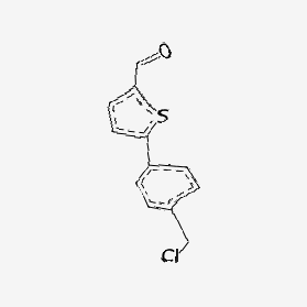 O=Cc1ccc(-c2ccc(CCl)cc2)s1